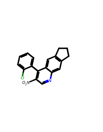 O=[N+]([O-])c1cnc2cc3c(cc2c1-c1ccccc1Cl)CCC3